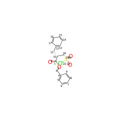 O=C(OCc1ccccc1)[C@H](Cc1ccccc1)CS(=O)(=O)Cl